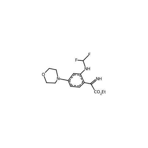 CCOC(=O)C(=N)c1ccc(N2CCOCC2)cc1NC(F)F